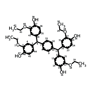 CCOc1cc(C(c2ccc(C(c3ccc(O)c(OCC)c3)c3ccc(O)c(OCC)c3)cc2)c2ccc(O)c(OCC)c2)ccc1O